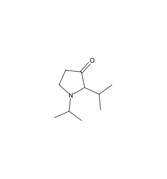 CC(C)C1C(=O)CCN1C(C)C